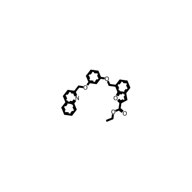 CCOC(=O)c1cc2cccc(COc3cccc(OCc4ccc5ccccc5n4)c3)c2o1